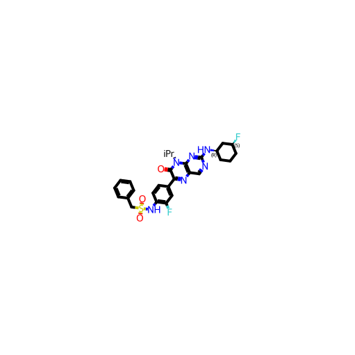 CC(C)n1c(=O)c(-c2ccc(NS(=O)(=O)Cc3ccccc3)c(F)c2)nc2cnc(N[C@@H]3CCC[C@H](F)C3)nc21